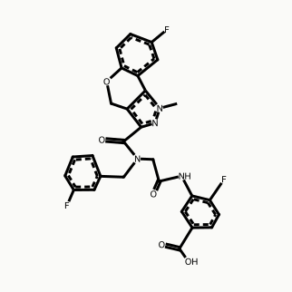 Cn1nc(C(=O)N(CC(=O)Nc2cc(C(=O)O)ccc2F)Cc2cccc(F)c2)c2c1-c1cc(F)ccc1OC2